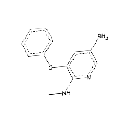 Bc1cnc(NC)c(Oc2ccccc2)c1